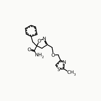 Cc1nc(COCC2=NOC(Cc3ccccc3)(C(N)=O)C2)cs1